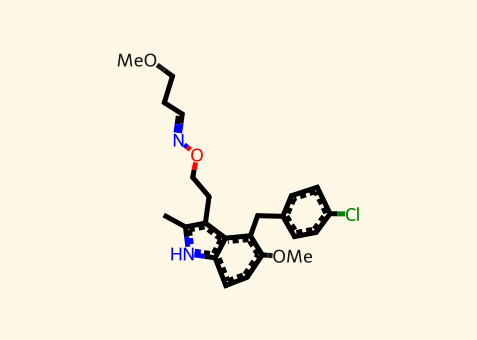 COCCC=NOCCc1c(C)[nH]c2ccc(OC)c(Cc3ccc(Cl)cc3)c12